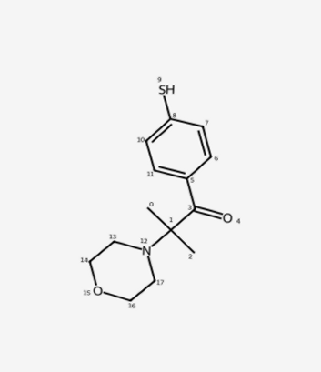 CC(C)(C(=O)c1ccc(S)cc1)N1CCOCC1